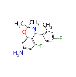 Cc1cc(F)ccc1C1=NC(C)(C)Oc2cc(N)cc(F)c21